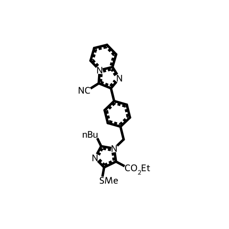 CCCCc1nc(SC)c(C(=O)OCC)n1Cc1ccc(-c2nc3ccccn3c2C#N)cc1